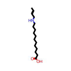 CC=CCNCCCCCCCCCCCC(=O)O